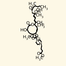 CC[C@H](O)[C@@H](C)[C@H]1O[C@@H]1CC(C)(O)/C=C/C=C(\C)C1OC(=O)CC(O)CCC(C)(OC)C(OC(=O)N2CCN(CCCC(=O)OC)CC2)C=CC1C